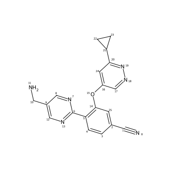 N#Cc1ccc(-c2ncc(CN)cn2)c(Oc2cnnc(C3CC3)c2)c1